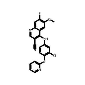 COc1cc2c(Nc3ccc(Sc4ccccn4)c(Cl)c3)c(C#N)cnc2cc1F